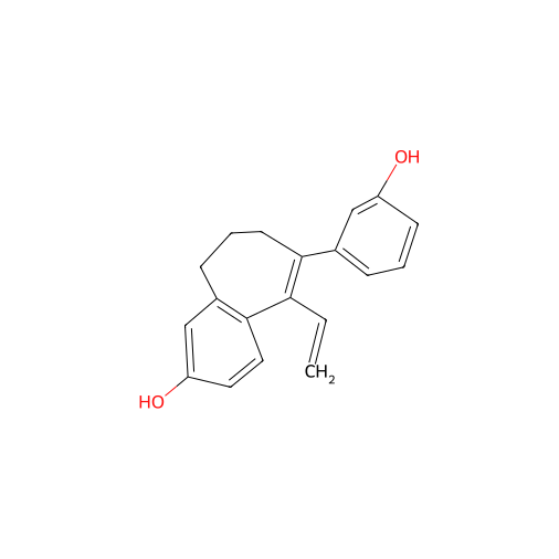 C=CC1=C(c2cccc(O)c2)CCCc2cc(O)ccc21